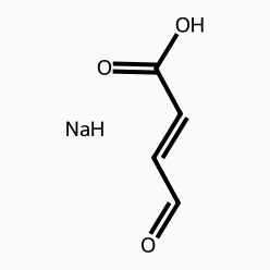 O=CC=CC(=O)O.[NaH]